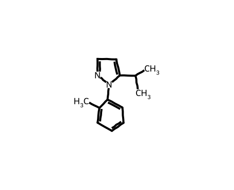 Cc1ccccc1-n1nccc1C(C)C